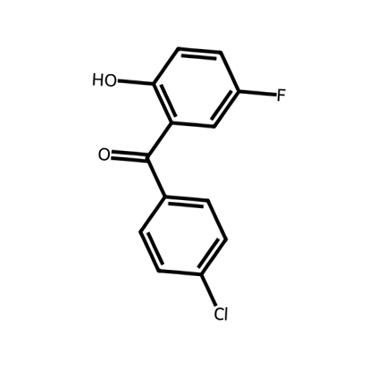 O=C(c1ccc(Cl)cc1)c1cc(F)ccc1O